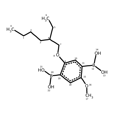 CCCCC(CC)COc1cc(B(O)O)c(OC)cc1B(O)O